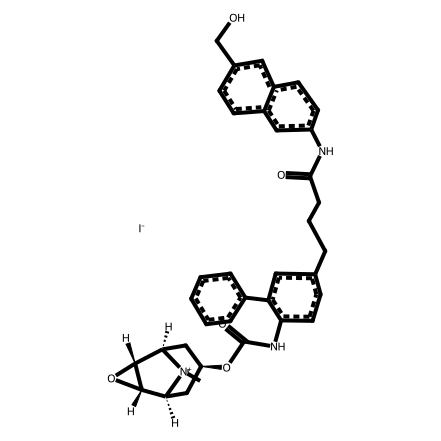 C[N+]1(C)[C@@H]2C[C@@H](OC(=O)Nc3ccc(CCCC(=O)Nc4ccc5cc(CO)ccc5c4)cc3-c3ccccc3)C[C@H]1[C@@H]1O[C@@H]12.[I-]